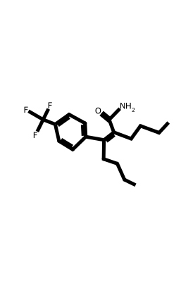 CCCCC(C(N)=O)=C(CCCC)c1ccc(C(F)(F)F)cc1